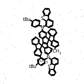 Cc1ccc2c(c1)C1(C3=C(c4ccc(N(c5ccc(C(C)(C)C)cc5)c5cccc6c5sc5ccccc56)cc41)C1(c4cc(N(c5ccc(C(C)(C)C)cc5)c5cccc6c5sc5ccccc56)ccc43)c3ccccc3-c3ccc(C)cc31)c1ccccc1-2